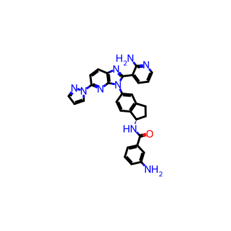 Nc1cccc(C(=O)N[C@H]2CCc3cc(-n4c(-c5cccnc5N)nc5ccc(-n6cccn6)nc54)ccc32)c1